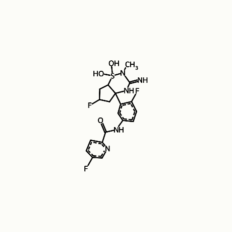 CN1C(=N)NC2(c3cc(NC(=O)c4ccc(F)cn4)ccc3F)CC(F)CC2S1(O)O